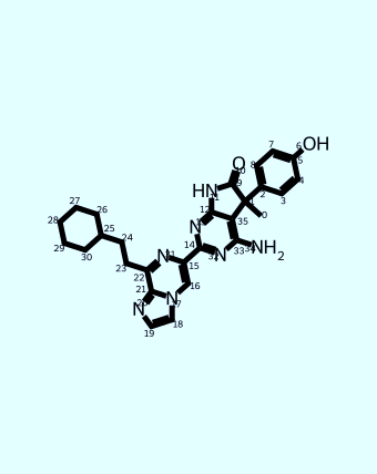 CC1(c2ccc(O)cc2)C(=O)Nc2nc(-c3cn4ccnc4c(CCC4CCCCC4)n3)nc(N)c21